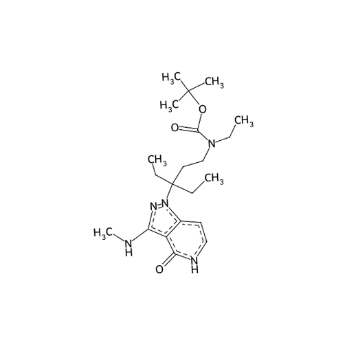 CCN(CCC(CC)(CC)n1nc(NC)c2c(=O)[nH]ccc21)C(=O)OC(C)(C)C